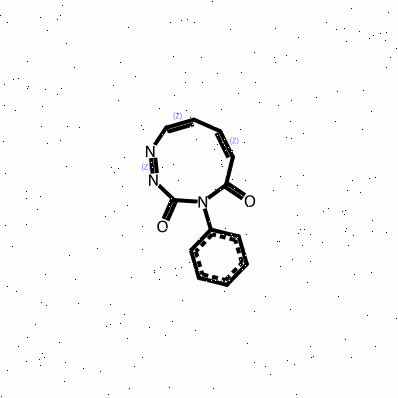 O=C1\C=C/C=C\N=N/C(=O)N1c1ccccc1